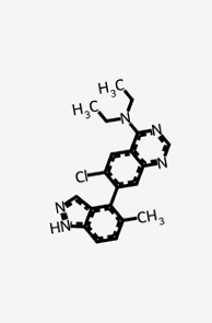 CCN(CC)c1ncnc2cc(-c3c(C)ccc4[nH]ncc34)c(Cl)cc12